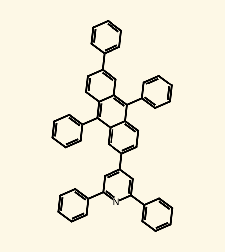 c1ccc(-c2ccc3c(-c4ccccc4)c4cc(-c5cc(-c6ccccc6)nc(-c6ccccc6)c5)ccc4c(-c4ccccc4)c3c2)cc1